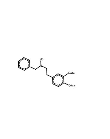 COc1ccc(CCN(Cc2ccccc2)C(C)C)cc1OC